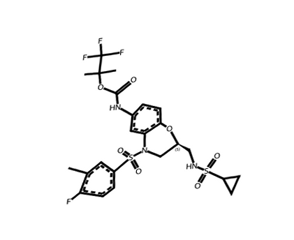 Cc1cc(S(=O)(=O)N2C[C@H](CNS(=O)(=O)C3CC3)Oc3ccc(NC(=O)OC(C)(C)C(F)(F)F)cc32)ccc1F